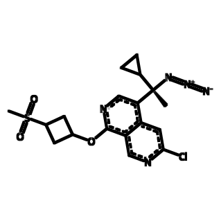 C[C@@](N=[N+]=[N-])(c1cnc(OC2CC(S(C)(=O)=O)C2)c2cnc(Cl)cc12)C1CC1